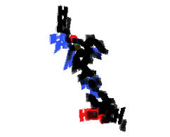 CCNC(=O)Nc1nc2cc(-c3cnc(N4CCC(CC)(C(=O)O)CC4)nc3)cc(-c3ncccc3C#N)c2s1